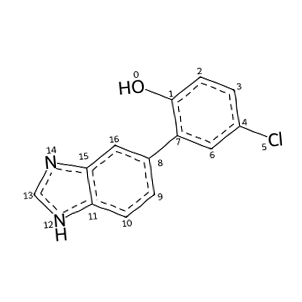 Oc1ccc(Cl)cc1-c1ccc2[nH]cnc2c1